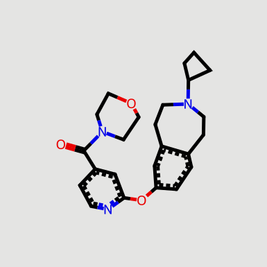 O=C(c1ccnc(Oc2ccc3c(c2)CCN(C2CCC2)CC3)c1)N1CCOCC1